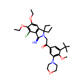 CCOc1cc2c(c(F)c1OCC)C(=N)N(CC(=O)c1cc(N3CCOCC3)c(OC)c(C(C)(C)C)c1)C2(CC)CC